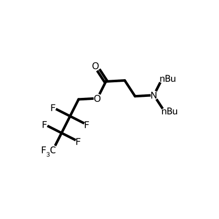 CCCCN(CCCC)CCC(=O)OCC(F)(F)C(F)(F)C(F)(F)F